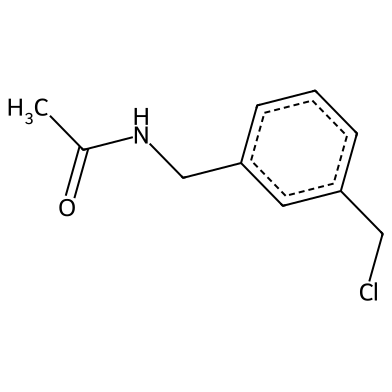 CC(=O)NCc1cccc(CCl)c1